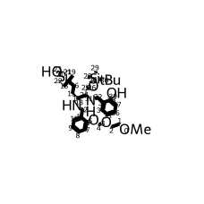 COCCOCOc1ccccc1CN[C@@H](CCC(C)(C)[Si](C)(C)O)[C@H](CO[Si](C)(C)C(C)(C)C)NCc1ccccc1O